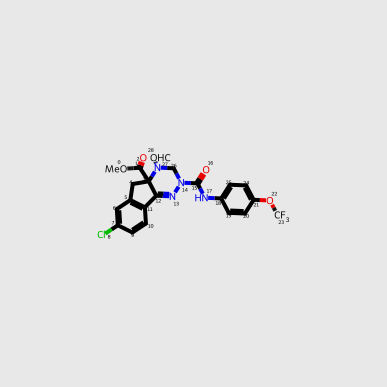 COC(=O)C12Cc3cc(Cl)ccc3C1=NN(C(=O)Nc1ccc(OC(F)(F)F)cc1)CN2C=O